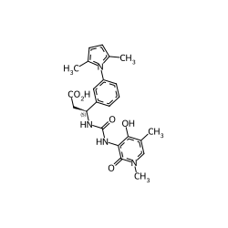 Cc1cn(C)c(=O)c(NC(=O)N[C@@H](CC(=O)O)c2cccc(-n3c(C)ccc3C)c2)c1O